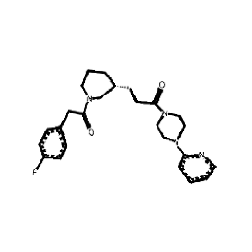 O=C(CC[C@H]1CCCN(C(=O)Cc2ccc(F)cc2)C1)N1CCN(c2ccccn2)CC1